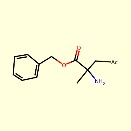 CC(=O)CC(C)(N)C(=O)OCc1ccccc1